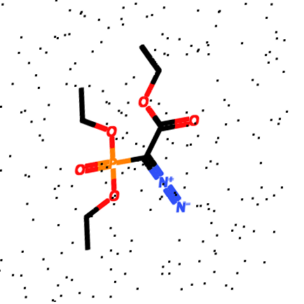 CCOC(=O)C(=[N+]=[N-])P(=O)(OCC)OCC